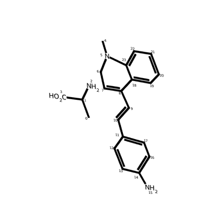 CC(N)C(=O)O.CN1CC=C(C=Cc2ccc(N)cc2)c2ccccc21